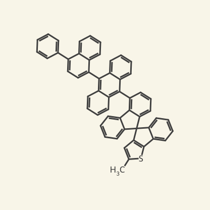 Cc1cc2c(s1)-c1ccccc1C21c2ccccc2-c2c(-c3c4ccccc4c(-c4ccc(-c5ccccc5)c5ccccc45)c4ccccc34)cccc21